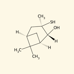 CC1(C)[C@@H]2C[C@H]1[C@@H](O)[C@](C)(S)C2